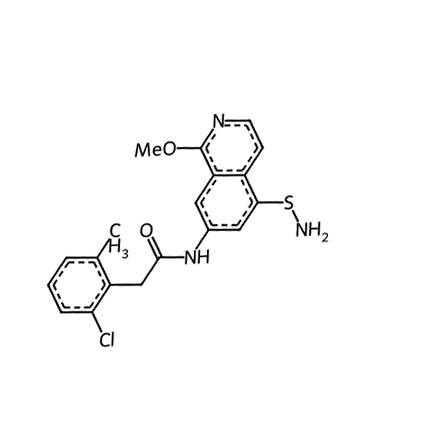 COc1nccc2c(SN)cc(NC(=O)Cc3c(C)cccc3Cl)cc12